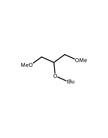 COCC(COC)OC(C)(C)C